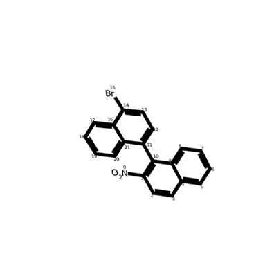 O=[N+]([O-])c1ccc2ccccc2c1-c1ccc(Br)c2ccccc12